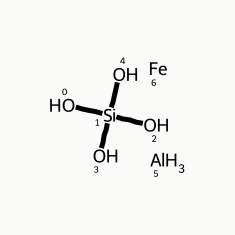 O[Si](O)(O)O.[AlH3].[Fe]